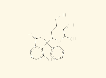 C=CC(C)OC(CCCC)C1(c2ccccc2)OC(=O)c2cccc(C)c21